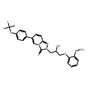 COc1ccccc1OCC(O)Cn1nc2ccc(-c3ccc(OC(F)(F)F)cc3)cn2c1=O